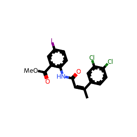 COC(=O)c1cc(I)ccc1NC(=O)/C=C(/C)c1ccc(Cl)c(Cl)c1